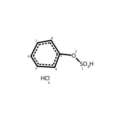 Cl.O=S(=O)(O)Oc1ccccc1